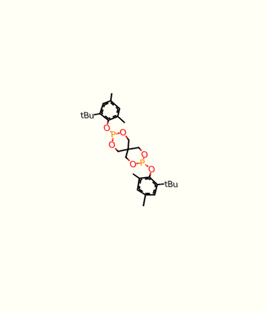 Cc1cc(C)c(OP2OCC3(CO2)COP(Oc2c(C)cc(C)cc2C(C)(C)C)OC3)c(C(C)(C)C)c1